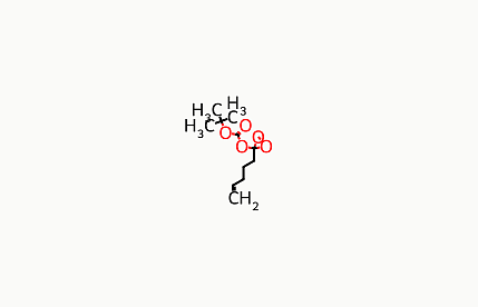 C=CCCCC1(OC(=O)OC(C)(C)C)OO1